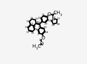 COCOc1ccc(C(=C2CCCc3ccccc32)c2ccc(OC(C)N3CCCC3)cc2)cc1